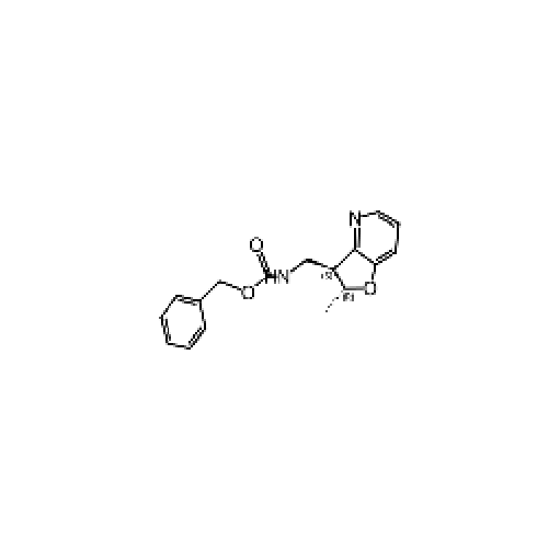 C[C@H]1Oc2cccnc2[C@@H]1CNC(=O)OCc1ccccc1